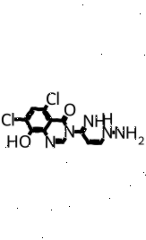 N=C(/C=C\NN)n1cnc2c(O)c(Cl)cc(Cl)c2c1=O